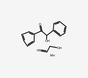 N=CCO.O=C(c1ccccc1)C(O)c1ccccc1.[Mn]